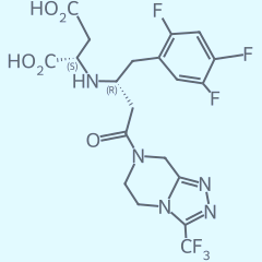 O=C(O)C[C@H](N[C@@H](CC(=O)N1CCn2c(nnc2C(F)(F)F)C1)Cc1cc(F)c(F)cc1F)C(=O)O